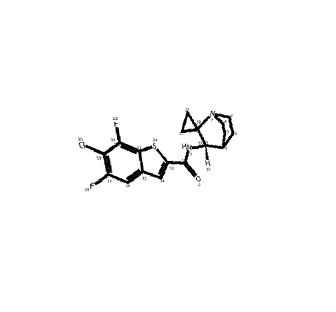 O=C(N[C@H]1C2CCN(CC2)C12CC2)c1cc2cc(F)c(Cl)c(F)c2s1